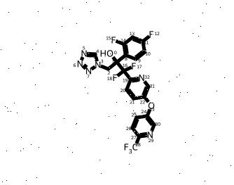 OC(Cn1cnnn1)(c1ccc(F)cc1F)C(F)(F)c1ccc(Oc2ccc(C(F)(F)F)nc2)cn1